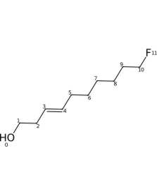 OCC/C=C/CCCCCCF